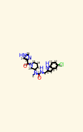 CN(C(=O)NCc1cc2cc(Cl)ccc2[nH]1)C1CCCN(C(=O)c2c[nH]cn2)C1